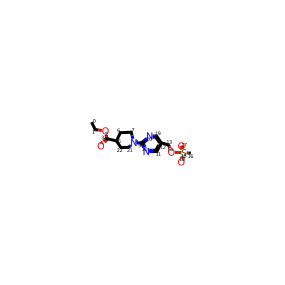 CCOC(=O)C1CCN(c2ncc(COS(C)(=O)=O)cn2)CC1